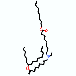 C=C(CCCCCCCN(CC)CCCCCCCC(=O)OCCCCCCCCC)OC(CCCCCC)CCCCCCCC